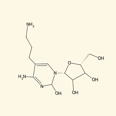 NCCCC1=CN([C@@H]2O[C@H](CO)C(O)C2O)C(O)N=C1N